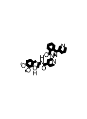 COc1ccc(C[C@@H](CO)NC(=O)c2ccnc(-n3nc(-c4cccnc4)c4ccccc4c3=O)c2)cc1OC